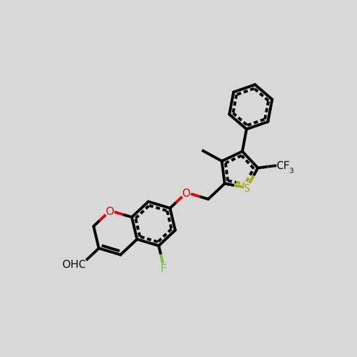 Cc1c(COc2cc(F)c3c(c2)OCC(C=O)=C3)sc(C(F)(F)F)c1-c1ccccc1